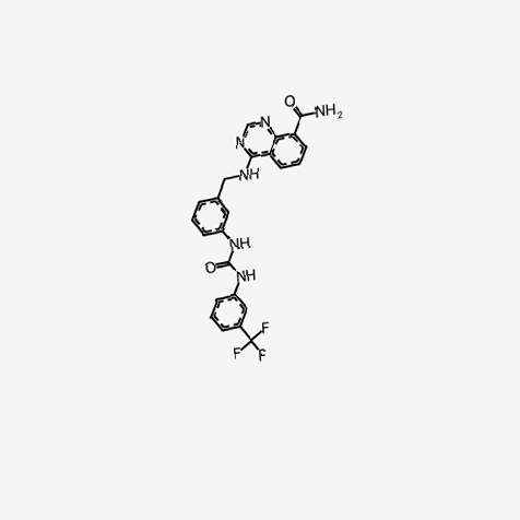 NC(=O)c1cccc2c(NCc3cccc(NC(=O)Nc4cccc(C(F)(F)F)c4)c3)ncnc12